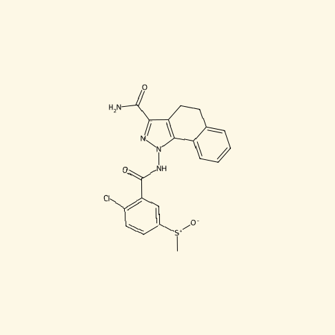 C[S+]([O-])c1ccc(Cl)c(C(=O)Nn2nc(C(N)=O)c3c2-c2ccccc2CC3)c1